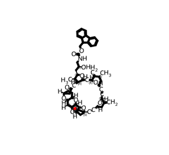 C=C1C[C@@H]2CC[C@@]34C[C@H]5OC6[C@@H](O[C@H]7CC[C@H](CC(=O)C[C@@H]8[C@@H](C)[C@@H](C[C@H](O)CNC(=O)OCC9c%10ccccc%10-c%10ccccc%109)O[C@H]8C[C@H]8O[C@@H](CC[C@@H]1O2)C[C@@H](C)C8=C)O[C@@H]7[C@@H]6O3)[C@H]5O4